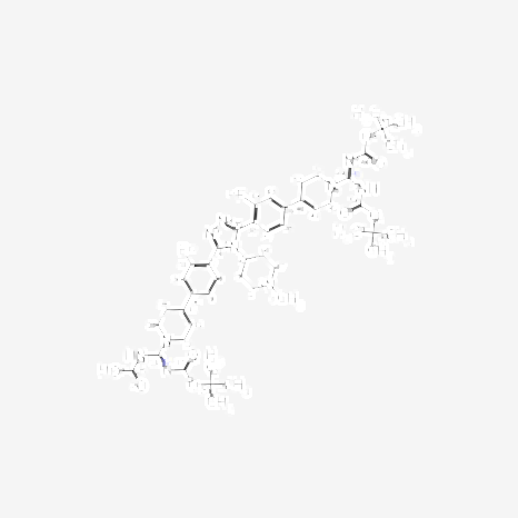 CN1CCC(n2c(-c3ccc(C4=CCN(/C(=N\C(=O)OC(C)(C)C)NC(=O)O)CC4)cc3F)nnc2-c2ccc(C3=CCN(/C(=N/C(=O)OC(C)(C)C)NC(=O)OC(C)(C)C)CC3)cc2F)CC1